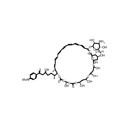 CNc1ccc(C(=O)CC(O)CC[C@H](C)[C@H]2OC(=O)C[C@H](O)CC(=O)C[C@H](O)C[C@H](O)C[C@H](O)C[C@H](O)C[C@]3(O)C[C@H](O)[C@@H](C(=O)O)[C@H](C[C@@H](O[C@@H]4O[C@H](C)[C@@H](O)[C@H](N)[C@H]4O)/C=C/C=C/C=C/C=C\C=C/C=C/C=C/[C@@H]2C)O3)cc1